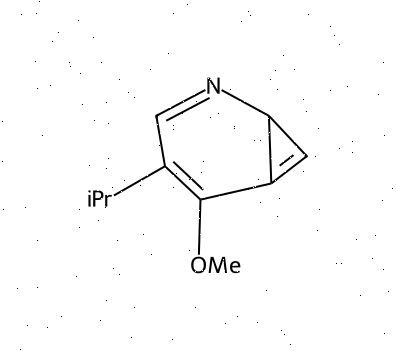 COC1=C(C(C)C)C=NC2C=C12